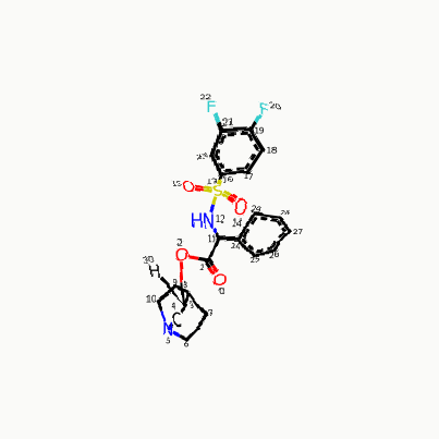 O=C(O[C@H]1CN2CCC1CC2)C(NS(=O)(=O)c1ccc(F)c(F)c1)c1ccccc1